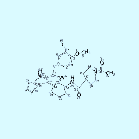 COc1ccc(Cc2nc3c(c4c2[nH]c2ccccc24)CCCC3NC(=O)C2CCN(C(C)=O)CC2)cc1F